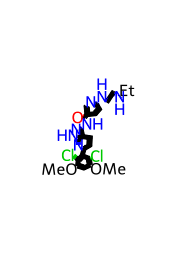 CCNCCNc1ccc(C(=O)Nc2n[nH]c3nc(-c4c(Cl)c(OC)cc(OC)c4Cl)ccc23)cn1